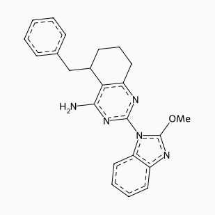 COc1nc2ccccc2n1-c1nc(N)c2c(n1)CCCC2Cc1ccccc1